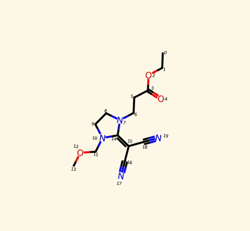 CCOC(=O)CCN1CCN(COC)C1=C(C#N)C#N